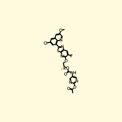 COc1cnc2c(-c3nc4cc(F)c(OC[C@@H](C)OC(=O)Nc5cnc(OC(C)=O)nc5)nc4s3)cc(Cl)cc2c1